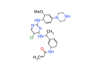 C=CC(=O)NC1C=C(C(C)NC2N=C(NC3C=CC(N4CCNCC4)=CC3OC)N=CC2Cl)C=CC1